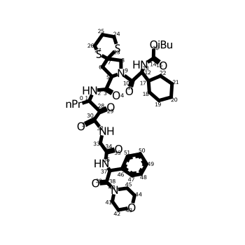 CCCC(NC(=O)C1CC2(CN1C(=O)C(NC(=O)OCC(C)C)C1CCCCC1)SCCCS2)C(=O)C(=O)NCC(=O)NC(C(=O)N1CCOCC1)c1ccccc1